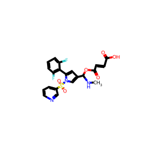 CNC(OC(=O)/C=C/C(=O)O)c1cc(-c2c(F)cccc2F)n(S(=O)(=O)c2cccnc2)c1